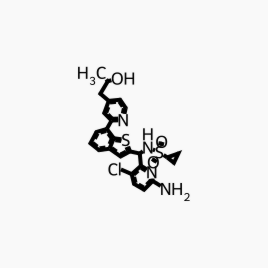 CC(O)Cc1ccnc(-c2cccc3cc(C(NS(=O)(=O)C4CC4)c4nc(N)ccc4Cl)sc23)c1